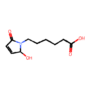 O=C(O)CCCCCN1C(=O)C=CC1O